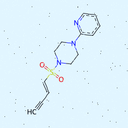 C#CC=CS(=O)(=O)N1CCN(c2ccccn2)CC1